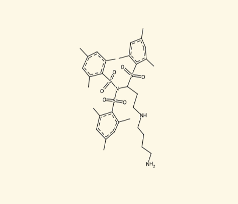 Cc1cc(C)c(S(=O)(=O)C(CCNCCCCN)N(S(=O)(=O)c2c(C)cc(C)cc2C)S(=O)(=O)c2c(C)cc(C)cc2C)c(C)c1